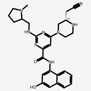 CN1CCCC1CNc1nc(C(=O)Nc2cc(O)cc3ccccc23)cc(N2CCN[C@@H](CC#N)C2)n1